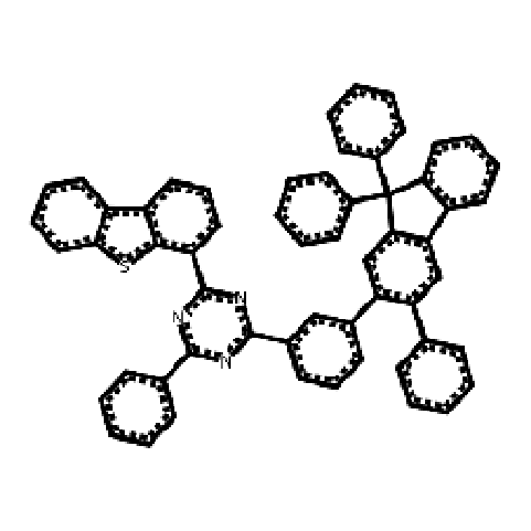 c1ccc(-c2nc(-c3cccc(-c4cc5c(cc4-c4ccccc4)-c4ccccc4C5(c4ccccc4)c4ccccc4)c3)nc(-c3cccc4c3sc3ccccc34)n2)cc1